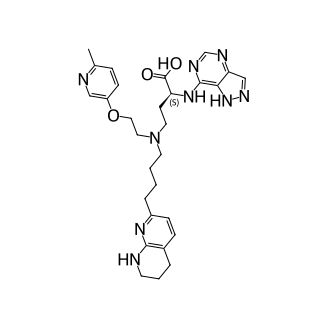 Cc1ccc(OCCN(CCCCc2ccc3c(n2)NCCC3)CC[C@H](Nc2ncnc3cn[nH]c23)C(=O)O)cn1